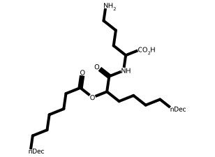 CCCCCCCCCCCCCCCC(=O)OC(CCCCCCCCCCCCCC)C(=O)NC(CCCN)C(=O)O